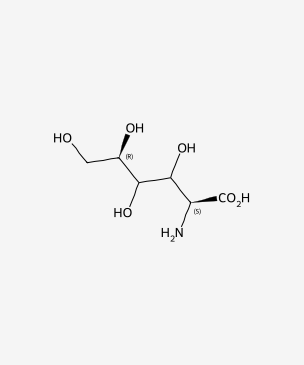 N[C@H](C(=O)O)C(O)C(O)[C@H](O)CO